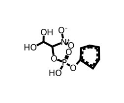 O=[N+]([O-])C(OP(=O)(O)Oc1ccccc1)C(O)O